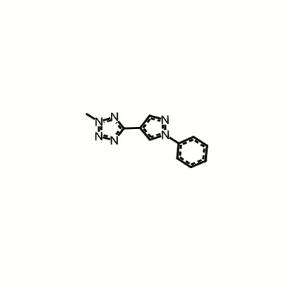 Cn1nnc(-c2cnn(-c3ccccc3)c2)n1